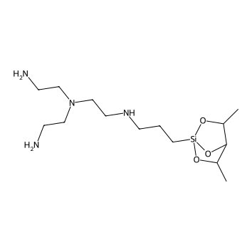 CC1O[Si]2(CCCNCCN(CCN)CCN)OC(C)C1O2